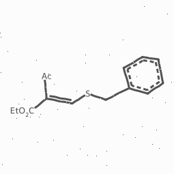 CCOC(=O)C(=CSCc1ccccc1)C(C)=O